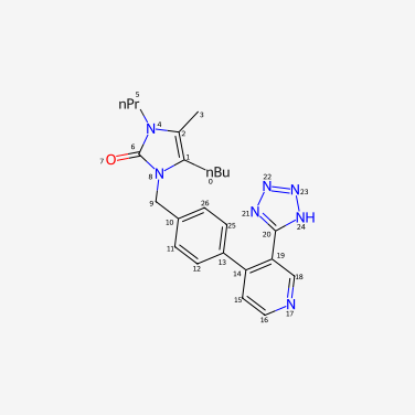 CCCCc1c(C)n(CCC)c(=O)n1Cc1ccc(-c2ccncc2-c2nnn[nH]2)cc1